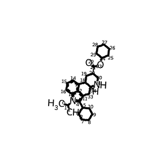 CC(C)n1c(C2CCCCC2)c2c3c(cccc31)C1C[C@@H](C(=O)OC3CCCCC3)CN[C@@H]1C2